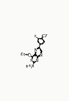 CCOc1nc(N)nc2ncc(-c3ccc(Cl)c(F)c3)nc12